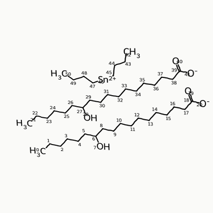 CCCCCCC(O)CCCCCCCCCCC(=O)[O-].CCCCCCC(O)CCCCCCCCCCC(=O)[O-].CCC[CH2][Sn+2][CH2]CCC